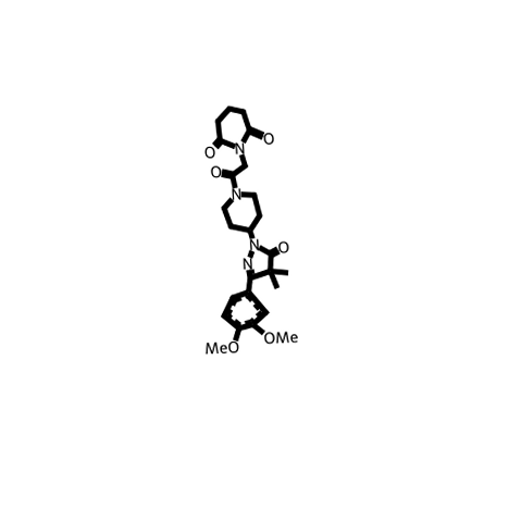 COc1ccc(C2=NN(C3CCN(C(=O)CN4C(=O)CCCC4=O)CC3)C(=O)C2(C)C)cc1OC